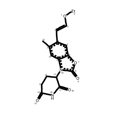 CCOC=Cc1cc2oc(=O)n(C3CCC(=O)NC3=O)c2cc1C